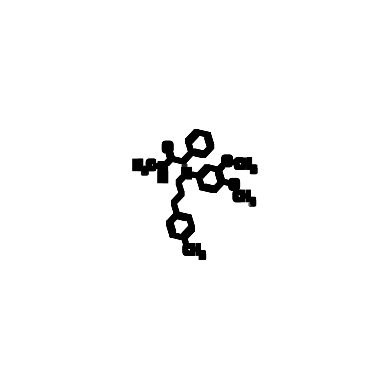 CNC(=O)[C@H](c1ccccc1)N(CCCc1ccc(C)cc1)c1ccc(OC)c(OC)c1